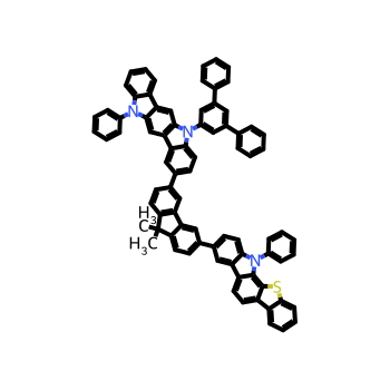 CC1(C)c2ccc(-c3ccc4c(c3)c3cc5c(cc3n4-c3cc(-c4ccccc4)cc(-c4ccccc4)c3)c3ccccc3n5-c3ccccc3)cc2-c2cc(-c3ccc4c(c3)c3ccc5c6ccccc6sc5c3n4-c3ccccc3)ccc21